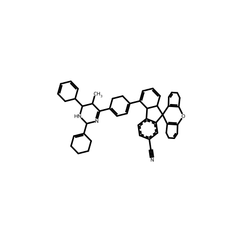 CC1C(C2=CC=C(C3=CC=CC4C3c3ccc(C#N)cc3C43C4=C(CCC=C4)OC4=C3CCC=C4)CC2)=NC(C2=CCCCC2)NC1C1C=CC=CC1